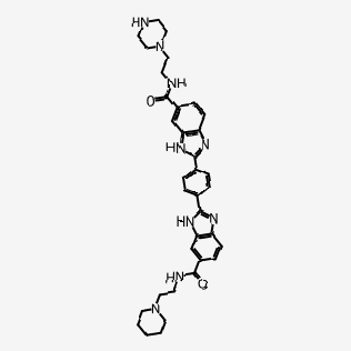 O=C(NCCN1CCCCC1)c1ccc2nc(-c3ccc(-c4nc5ccc(C(=O)NCCN6CCNCC6)cc5[nH]4)cc3)[nH]c2c1